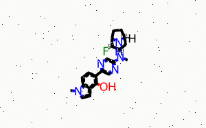 CN(c1cnc(-c2ccc3c(ccn3C)c2O)cn1)[C@H]1C[C@@H]2CCC(N2)[C@H]1F